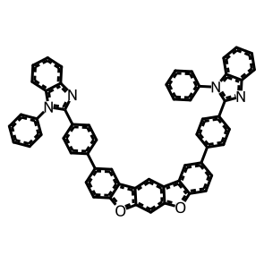 c1ccc(-n2c(-c3ccc(-c4ccc5oc6cc7oc8ccc(-c9ccc(-c%10nc%11ccccc%11n%10-c%10ccccc%10)cc9)cc8c7cc6c5c4)cc3)nc3ccccc32)cc1